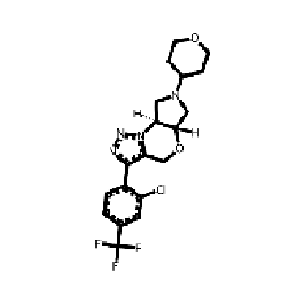 FC(F)(F)c1ccc(-c2nnn3c2CO[C@H]2CN(C4CCOCC4)C[C@@H]23)c(Cl)c1